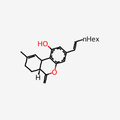 C=C1Oc2cc(/C=C/CCCCCC)cc(O)c2C2C=C(C)CC[C@@H]12